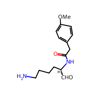 COc1ccc(CC(=O)N[C@@H](C=O)CCCCN)cc1